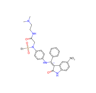 CCS(=O)(=O)N(CC(=O)NCCN(C)C)c1ccc(N/C(=C2\C(=O)Nc3ccc([N+](=O)[O-])cc32)c2ccccc2)cc1